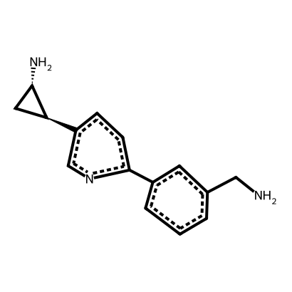 NCc1cccc(-c2ccc([C@H]3C[C@@H]3N)cn2)c1